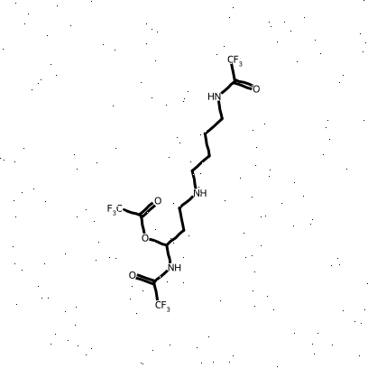 O=C(NCCCCNCCC(NC(=O)C(F)(F)F)OC(=O)C(F)(F)F)C(F)(F)F